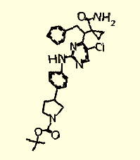 CC(C)(C)OC(=O)N1CCC(c2ccc(Nc3ncc(Cl)c(C(Cc4ccccc4)C4(C(N)=O)CC4)n3)cc2)CC1